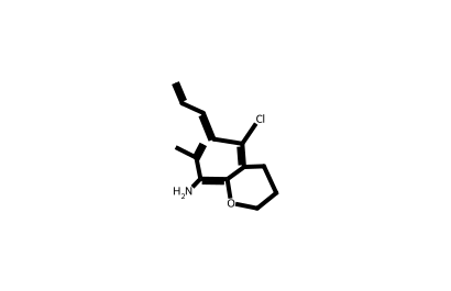 C=C/C=C/C(Cl)=C1/CCCO/C1=C(\N)C(=C)C